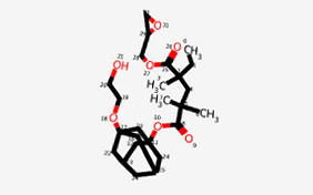 CCC(C)(CC(C)(C)C(=O)OC12CC3CC(CC(OCCO)(C3)C1)C2)C(=O)OCC1CO1